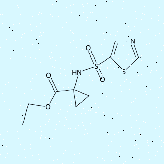 CCOC(=O)C1(NS(=O)(=O)c2cn[c]s2)CC1